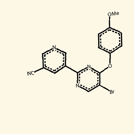 COc1ccc(Oc2nc(-c3cncc(C#N)c3)ncc2Br)cc1